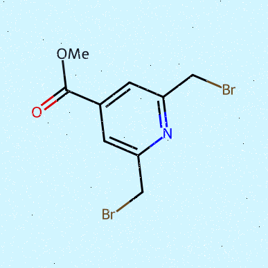 COC(=O)c1cc(CBr)nc(CBr)c1